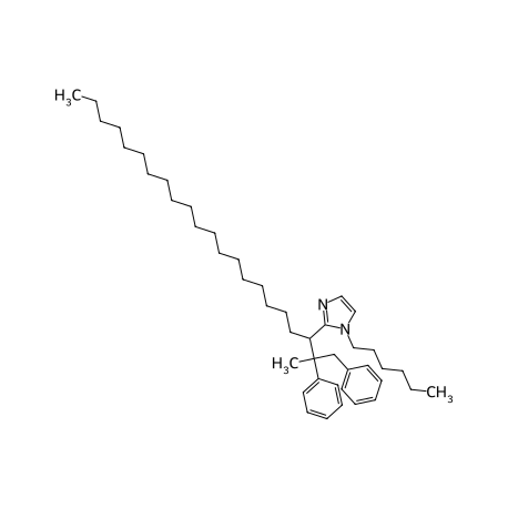 CCCCCCCCCCCCCCCCCCCC(c1nccn1CCCCCC)C(C)(Cc1ccccc1)c1ccccc1